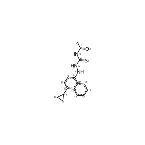 CC(=O)NC(=S)NNc1ccc(C2CC2)c2ccccc12